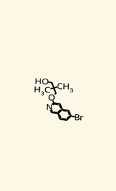 CC(C)(CO)COc1cc2cc(Br)ccc2cn1